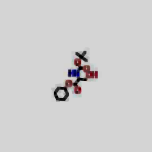 CC(C)(C)OC(=O)NC(CO)C(=O)OC1CCCCC1